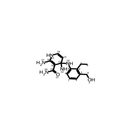 CCc1c(CO)cccc1NC1(N)C=CNC(N)=C1C(N)=O